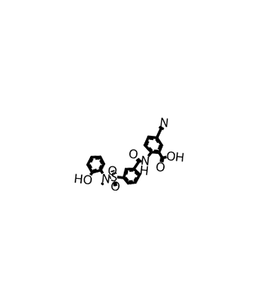 CN(c1ccccc1O)S(=O)(=O)c1cccc(C(=O)Nc2ccc(C#N)cc2C(=O)O)c1